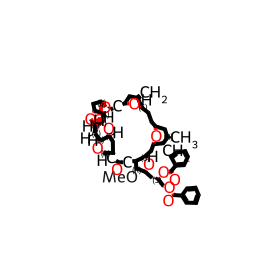 C=C1C2C[C@@H]3OC(C[C@@H](COC(=O)c4ccccc4)OC(=O)c4ccccc4)[C@H](OC)C3CC(=O)C[C@H]3CC[C@@H]4O[C@@H]5[C@H]6OC7C[C@](CCC8CC(=C)[C@H](CCC(C[C@H]1C)O2)O8)(O[C@H]6[C@H]4O3)O[C@@H]75